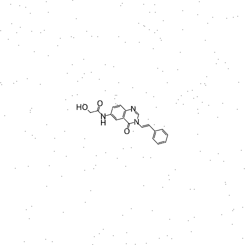 O=C(CO)Nc1ccc2ncn(C=Cc3ccccc3)c(=O)c2c1